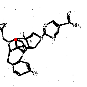 NC(=O)c1cnc(N2C[C@H]3CC45CCC2C3C42CCN(CC3CC3)C5Cc3ccc(O)cc32)nc1